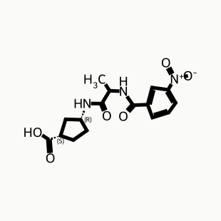 CC(NC(=O)c1cccc([N+](=O)[O-])c1)C(=O)N[C@@H]1CC[C@H](C(=O)O)C1